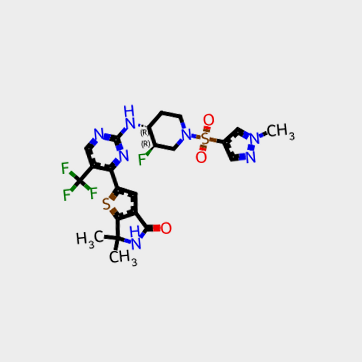 Cn1cc(S(=O)(=O)N2CC[C@@H](Nc3ncc(C(F)(F)F)c(-c4cc5c(s4)C(C)(C)NC5=O)n3)[C@H](F)C2)cn1